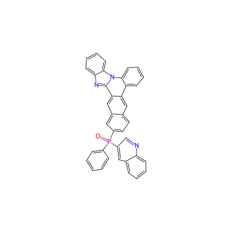 O=P(c1ccccc1)(c1ccc2cc3c4ccccc4n4c5ccccc5nc4c3cc2c1)c1cnc2ccccc2c1